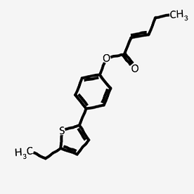 CCC=CC(=O)Oc1ccc(-c2ccc(CC)s2)cc1